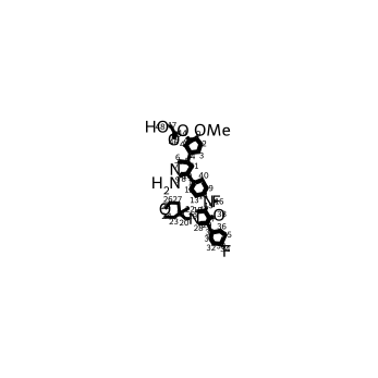 COc1ccc(-c2cnc(N)c(-c3ccc(N(F)c4cn(CC5(C)CCOCC5)cc(-c5ccc(F)cc5)c4=O)cc3)c2)cc1OC(=O)CO